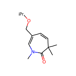 CC(C)OCC1=CN(C)C(=O)C(C)(C)C=C1